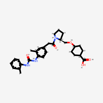 Cc1ccccc1NC(=O)Nc1ccc(CC(=O)N2CCC[C@H]2COC2CCC(C(=O)O)CC2)cc1C